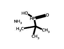 CC(C)(C)[PH](=O)O.N